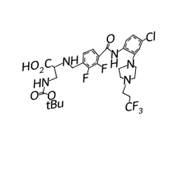 CC(C)(C)OC(=O)NCC(NCc1ccc(C(=O)Nc2ccc(Cl)cc2N2CCN(CCC(F)(F)F)CC2)c(F)c1F)C(=O)O